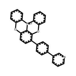 O=P12c3ccccc3Oc3ccc(-c4ccc(-c5cccnc5)cc4)c(c31)Oc1ccccc12